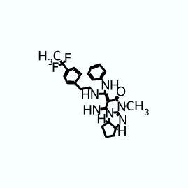 Cn1c(=O)/c(=C(/NCCc2ccc(C(C)(F)F)cc2)Nc2ccccc2)c(=N)n2c1=N[C@@H]1CCC[C@@H]12